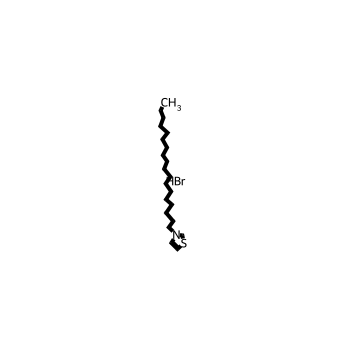 Br.CCCCCCCCCCCCCCCCCCN1C=CSC1